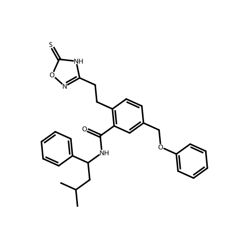 CC(C)CC(NC(=O)c1cc(COc2ccccc2)ccc1CCc1noc(=S)[nH]1)c1ccccc1